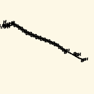 CNC(=O)OC[C@@H]1[C@@H]2CCc3nnn(CCOCCOCCOCCOCCOCCOCCOCCOCCOCCOCCOCCOCCOCCOCCOCCOCCOCCOCCOCCOCCOCCOCCOCCNC(=O)CCCCCCCCCCC(CCCCCCCCCCC(=O)O)C(=O)O)c3CC[C@@H]21